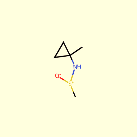 C[S+]([O-])NC1(C)CC1